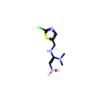 CN(C)C(=C[N+](=O)[O-])NCc1cnc(Cl)s1